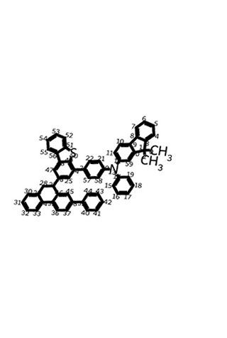 CC1(C)c2ccccc2-c2ccc(N(c3ccccc3)c3ccc(-c4cc(C5Cc6ccccc6-c6ccc(-c7ccccc7)cc65)cc5c4sc4ccccc45)cc3)cc21